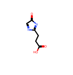 O=C(O)CCC1=NC(=O)C=N1